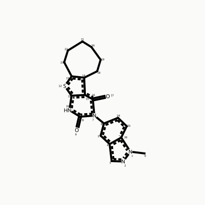 Cn1ncc2cc(-n3c(=O)[nH]c4sc5c(c4c3=O)CCCCCC5)ccc21